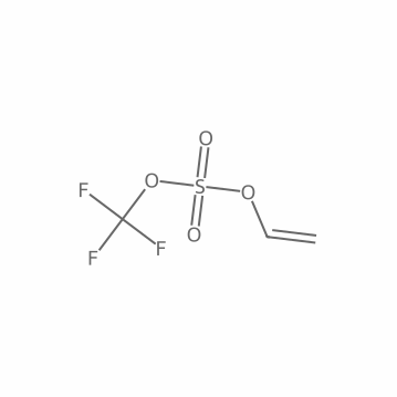 C=COS(=O)(=O)OC(F)(F)F